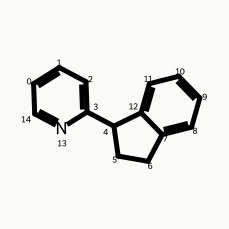 c1ccc(C2CCc3ccccc32)nc1